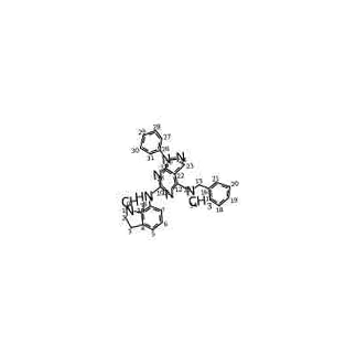 CN1CCc2cccc(Nc3nc(N(C)Cc4ccccc4)c4cnn(-c5ccccc5)c4n3)c21